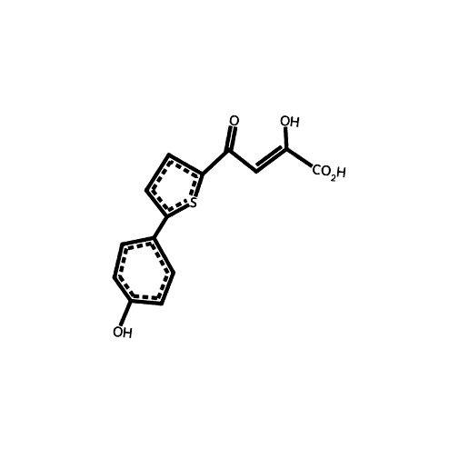 O=C(O)C(O)=CC(=O)c1ccc(-c2ccc(O)cc2)s1